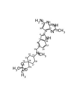 Cc1nc2c(-c3cc4cc(CN(C)C5CCC6(CC5)COC(C)(C)OC6)ccc4[nH]3)cc(N)nc2[nH]1